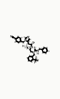 CC[C@@H](CN(Cc1ccccc1C(F)(F)F)C(=S)NCc1ccccc1)NC(=O)Cc1cncn1Cc1ccc(C#N)cc1